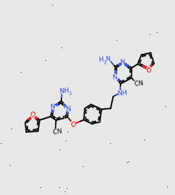 N#Cc1c(NCCc2ccc(Oc3nc(N)nc(-c4ccco4)c3C#N)cc2)nc(N)nc1-c1ccco1